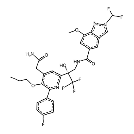 CCCOc1c(CC(N)=O)cc([C@@](O)(CNC(=O)c2cc(OC)c3nn(C(F)F)cc3c2)C(F)(F)F)nc1-c1ccc(F)cc1